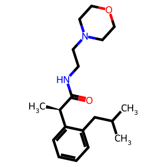 CC(C)Cc1ccccc1[C@@H](C)C(=O)NCCN1CCOCC1